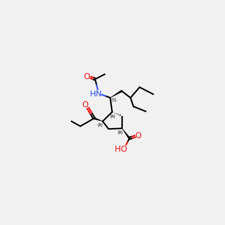 CCC(=O)[C@@H]1C[C@H](C(=O)O)C[C@H]1[C@H](CC(CC)CC)NC(C)=O